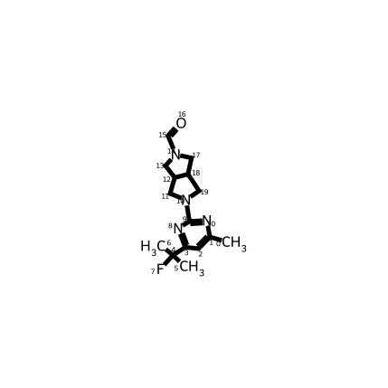 Cc1cc(C(C)(C)F)nc(N2CC3CN(C=O)CC3C2)n1